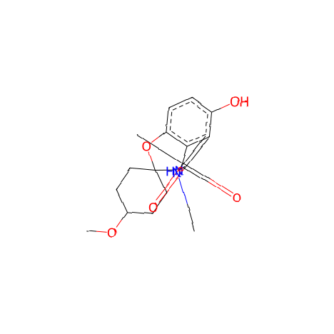 COC1CCC2(CC1)Oc1ccc(O)cc1C21NC(=O)N(C)C1=O